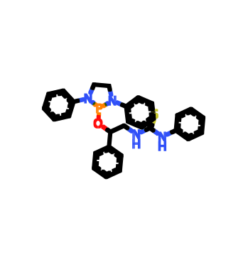 S=C(NCC(OP1N(c2ccccc2)CCN1c1ccccc1)c1ccccc1)Nc1ccccc1